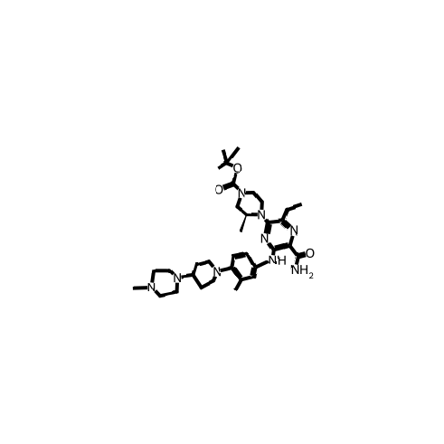 CCc1nc(C(N)=O)c(Nc2ccc(N3CCC(N4CCN(C)CC4)CC3)c(C)c2)nc1N1CCN(C(=O)OC(C)(C)C)C[C@@H]1C